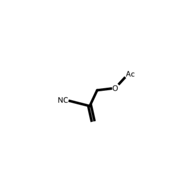 C=C(C#N)COC(C)=O